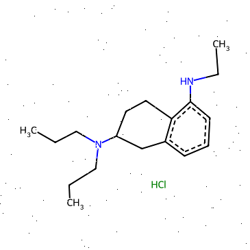 CCCN(CCC)C1CCc2c(cccc2NCC)C1.Cl